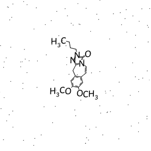 CCCCn1nc2n(c1=O)C=Cc1cc(OC)c(OC)cc1C2